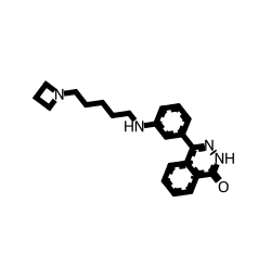 O=c1[nH]nc(-c2cccc(NCCCCCN3CCC3)c2)c2ccccc12